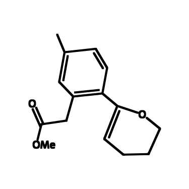 COC(=O)Cc1cc(C)ccc1C1=CCCCO1